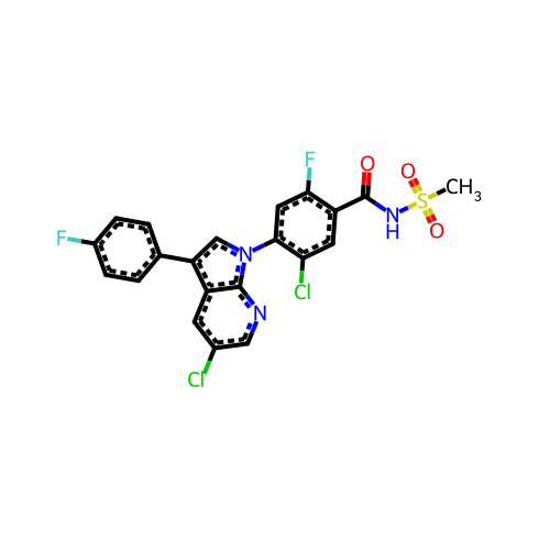 CS(=O)(=O)NC(=O)c1cc(Cl)c(-n2cc(-c3ccc(F)cc3)c3cc(Cl)cnc32)cc1F